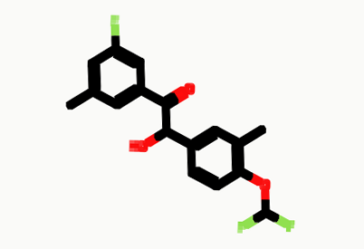 Cc1cc(F)cc(C(=O)C(O)c2ccc(OC(F)F)c(C)c2)c1